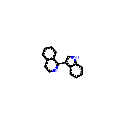 c1ccc2c(-c3c[nH]c4ccccc34)nccc2c1